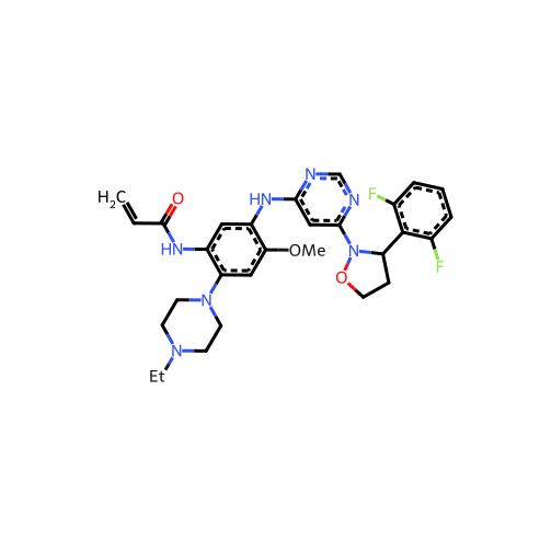 C=CC(=O)Nc1cc(Nc2cc(N3OCCC3c3c(F)cccc3F)ncn2)c(OC)cc1N1CCN(CC)CC1